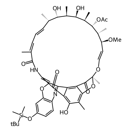 CO[C@H]1/C=C/O[C@@]2(C)Oc3c(C)c(O)c4c(=O)c(c5oc6cc(O[Si](C)(C)C(C)(C)C)ccc6nc-5c4c3C2=O)NC(=O)/C(C)=C\C=C\[C@H](C)[C@H](O)[C@@H](C)[C@@H](O)[C@@H](C)[C@H](OC(C)=O)[C@@H]1C